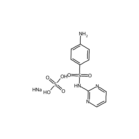 Nc1ccc(S(=O)(=O)Nc2ncccn2)cc1.O=S(=O)(O)O.[NaH]